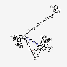 CCCC1CC(/C=C/C=C/C=C/C=C2/N(CCOCCOCCOCCOCCOCCOCCC(=O)ON3C(=O)CCC3=O)c3ccc4c(S(=O)(=O)O)cc(S(=O)(=O)O)cc4c3C2(C)CCOCCOCCOCCOC)C(C)(CCCS(=O)(=O)O)c2c(ccc3c([SH](=O)=O)cc(S(=O)(=O)O)cc23)N1CCOC